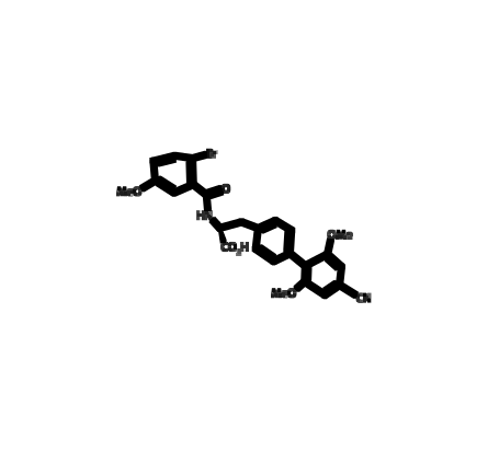 COc1ccc(Br)c(C(=O)N[C@@H](Cc2ccc(-c3c(OC)cc(C#N)cc3OC)cc2)C(=O)O)c1